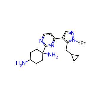 CC(C)n1ncc(-c2ccnc(C3(N)CCC(N)CC3)n2)c1CC1CC1